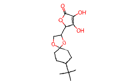 CC(C)(C)C1CCC2(CC1)OCC(C1OC(=O)C(O)=C1O)O2